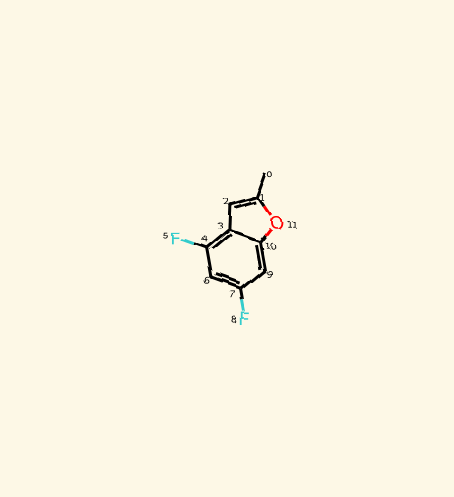 Cc1cc2c(F)cc(F)cc2o1